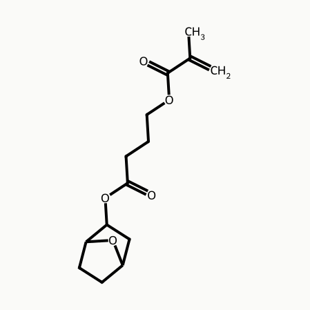 C=C(C)C(=O)OCCCC(=O)OC1CC2CCC1O2